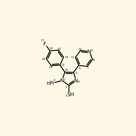 CCCn1c(S)nc(-c2ccncc2)c1-c1ccc(F)cc1